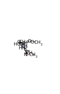 CCCCOCCOc1ccc(-c2ccc3c(c2)/C=C(/C(=O)Nc2ccc([S+]([O-])CC4=C(C)C(CCC)CCC=N4)cc2)CCCN3CC(C)(C)C(=O)O)cc1